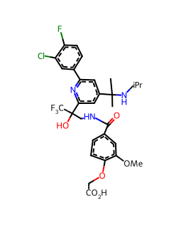 COc1cc(C(=O)NCC(O)(c2cc(C(C)(C)NC(C)C)cc(-c3ccc(F)c(Cl)c3)n2)C(F)(F)F)ccc1OCC(=O)O